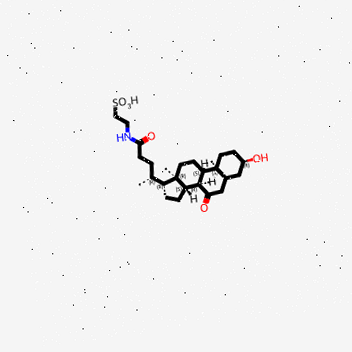 C[C@H](CCC(=O)NCCS(=O)(=O)O)[C@H]1CC[C@H]2[C@@H]3C(=O)CC4C[C@H](O)CC[C@]4(C)[C@H]3CC[C@]12C